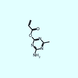 C=CC(=O)Oc1nc(C)nc(N)n1